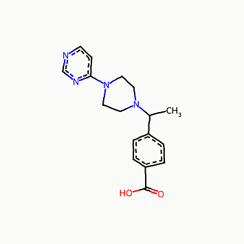 CC(c1ccc(C(=O)O)cc1)N1CCN(c2ccncn2)CC1